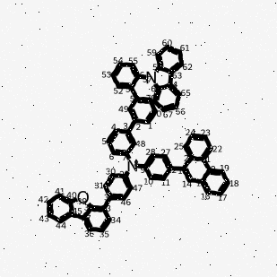 c1cc(-c2cccc(N(c3ccc(-c4cc5ccccc5c5ccccc45)cc3)c3ccc(-c4cccc5c4oc4ccccc45)cc3)c2)cc(-c2ccccc2-n2c3ccccc3c3ccccc32)c1